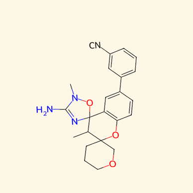 [C-]#[N+]c1cccc(-c2ccc3c(c2)C2(N=C(N)N(C)O2)C(C)C2(CCCOC2)O3)c1